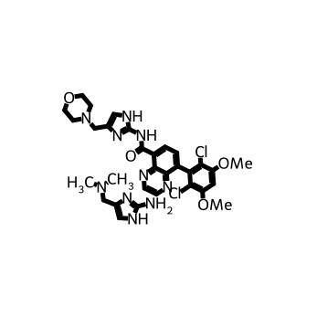 CN(C)Cc1c[nH]c(N)n1.COc1cc(OC)c(Cl)c(-c2ccc(C(=O)Nc3nc(CN4CCOCC4)c[nH]3)c3nccnc23)c1Cl